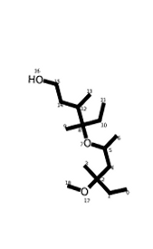 CCC(C)(CC(C)OC(C)(CC)C(C)CCO)OC